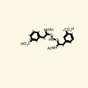 CC(=O)NC(Cc1cccc(C(=O)O)c1)OBOC(Cc1cccc(C(=O)O)c1)NC(C)=O